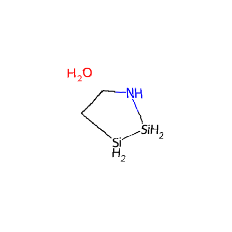 C1C[SiH2][SiH2]N1.O